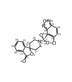 O=C1OC2(CCN(S(=O)(=O)c3c(Cl)ccc4nonc34)CC2)c2ccccc21